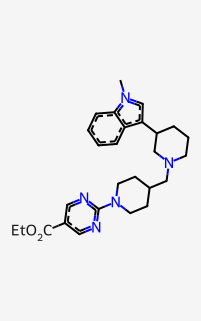 CCOC(=O)c1cnc(N2CCC(CN3CCCC(c4cn(C)c5ccccc45)C3)CC2)nc1